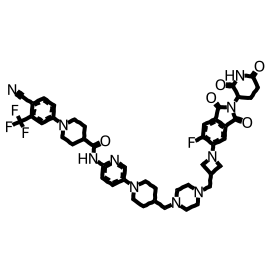 N#Cc1ccc(N2CCC(C(=O)Nc3ccc(N4CCC(CN5CCN(CC6CN(c7cc8c(cc7F)C(=O)N(C7CCC(=O)NC7=O)C8=O)C6)CC5)CC4)cn3)CC2)cc1C(F)(F)F